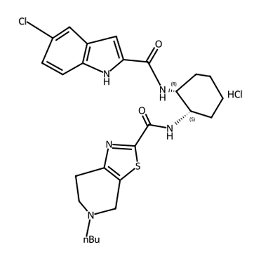 CCCCN1CCc2nc(C(=O)N[C@H]3CCCC[C@H]3NC(=O)c3cc4cc(Cl)ccc4[nH]3)sc2C1.Cl